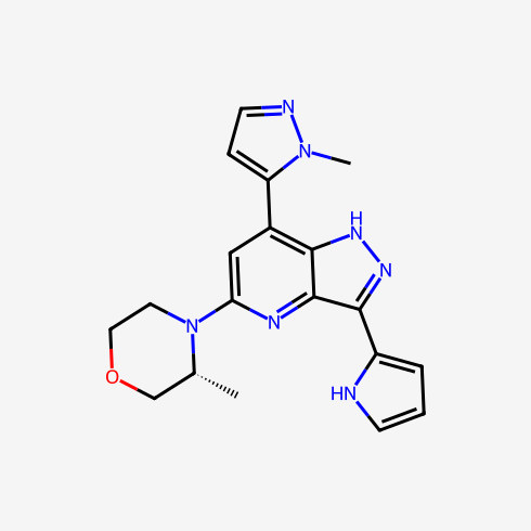 C[C@@H]1COCCN1c1cc(-c2ccnn2C)c2[nH]nc(-c3ccc[nH]3)c2n1